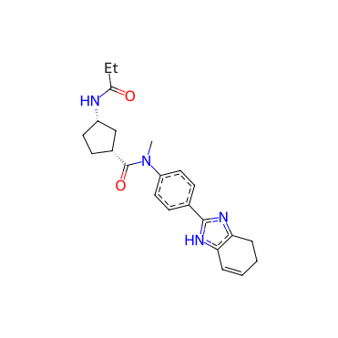 CCC(=O)N[C@H]1CC[C@@H](C(=O)N(C)c2ccc(-c3nc4c([nH]3)C=CCC4)cc2)C1